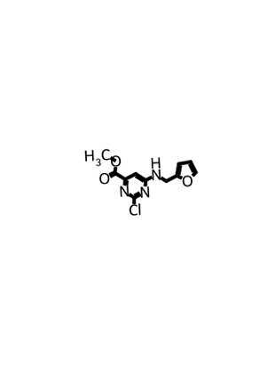 COC(=O)c1cc(NCc2ccco2)nc(Cl)n1